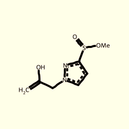 C=C(O)Cn1ccc(S(=O)OC)n1